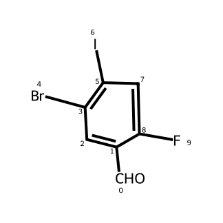 O=Cc1cc(Br)c(I)cc1F